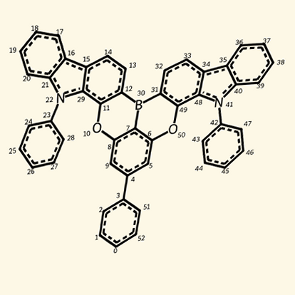 c1ccc(-c2cc3c4c(c2)Oc2c(ccc5c6ccccc6n(-c6ccccc6)c25)B4c2ccc4c5ccccc5n(-c5ccccc5)c4c2O3)cc1